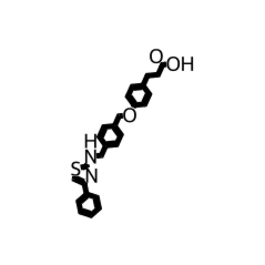 O=C(O)CCc1ccc(OCc2ccc(CNc3nc(-c4ccccc4)cs3)cc2)cc1